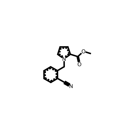 COC(=O)c1cccn1Cc1ccccc1C#N